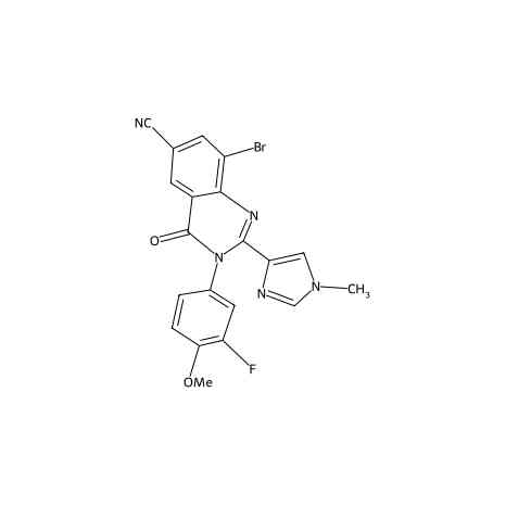 COc1ccc(-n2c(-c3cn(C)cn3)nc3c(Br)cc(C#N)cc3c2=O)cc1F